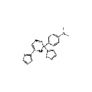 CN(C)c1ccc(C2(c3cccs3)C=CC=C(c3cccs3)N2)cc1